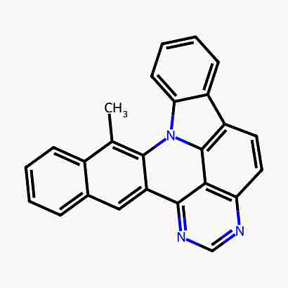 Cc1c2ccccc2cc2c3ncnc4ccc5c6ccccc6n(c12)c5c43